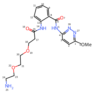 COc1ccc(NC(=O)c2ccccc2NC(=O)CCOCCOCCN)nn1